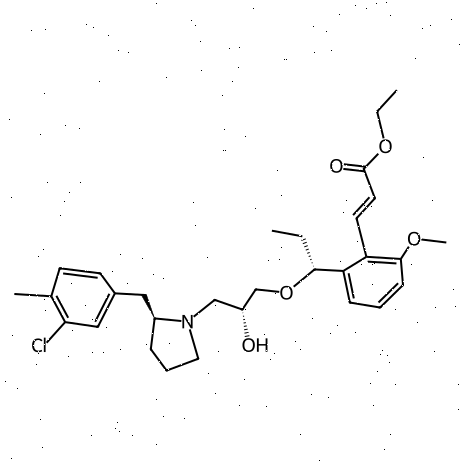 CCOC(=O)/C=C/c1c(OC)cccc1[C@@H](CC)OC[C@H](O)CN1CCC[C@H]1Cc1ccc(C)c(Cl)c1